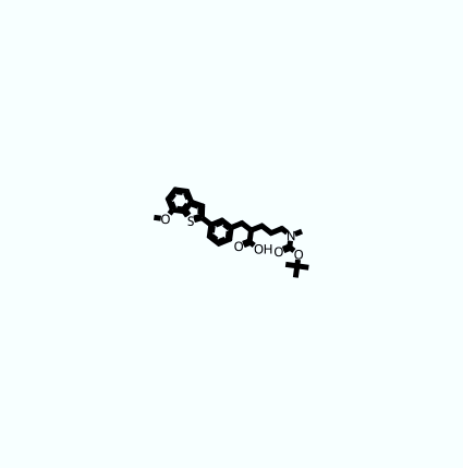 COc1cccc2cc(-c3cccc(CC(CCCN(C)C(=O)OC(C)(C)C)C(=O)O)c3)sc12